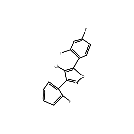 Fc1ccc(-c2onc(-c3ccccc3F)c2Cl)c(F)c1